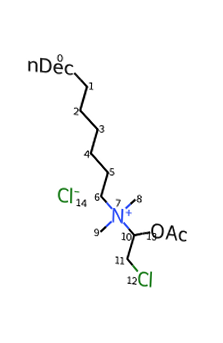 CCCCCCCCCCCCCCCC[N+](C)(C)C(CCl)OC(C)=O.[Cl-]